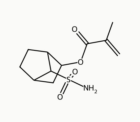 C=C(C)C(=O)OC1CC2CCC1C2S(N)(=O)=O